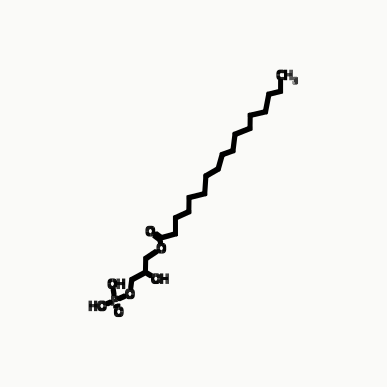 CCCCCCCCCCCCCCCCC(=O)OCC(O)COP(=O)(O)O